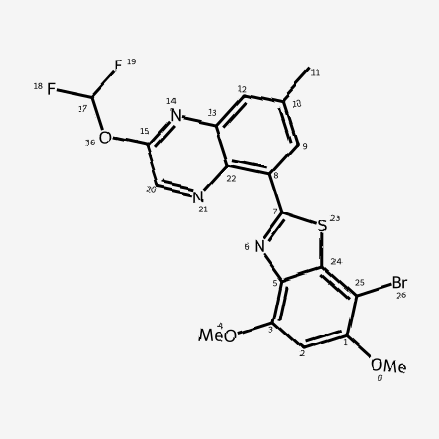 COc1cc(OC)c2nc(-c3cc(C)cc4nc(OC(F)F)cnc34)sc2c1Br